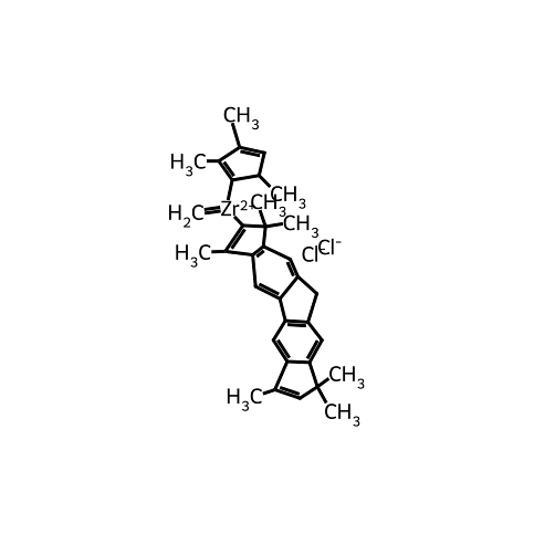 [CH2]=[Zr+2]([C]1=C(C)C(C)=CC1C)[C]1=C(C)c2cc3c(cc2C1(C)C)Cc1cc2c(cc1-3)C(C)=CC2(C)C.[Cl-].[Cl-]